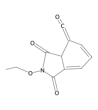 CCON1C(=O)C2=CC=CC(=C=O)C2C1=O